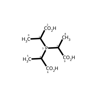 CC(C(=O)O)P(C(C)C(=O)O)C(C)C(=O)O